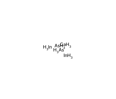 [AsH3].[AsH3].[GaH3].[InH3].[InH3]